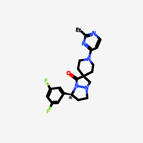 CCc1nccc(N2CCC3(CC2)CN2CC[C@@H](c4cc(F)cc(F)c4)N2C3=O)n1